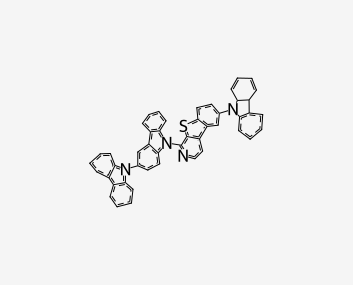 C1=CC2c3ccccc3N(c3ccc4sc5c(-n6c7ccccc7c7cc(-n8c9ccccc9c9ccccc98)ccc76)nccc5c4c3)C2C=C1